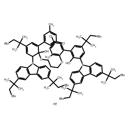 Cc1cc(Cl)cc(C2=CC(C(C)(C)CC(C)(C)C)=CC(n3c4ccc(C(C)(C)CC(C)(C)C)cc4c4cc(C(C)(C)CC(C)(C)C)ccc43)C2(O)OCCCOc2c(C)cc(Cl)cc2-c2cc(C(C)(C)CC(C)(C)C)cc(-n3c4ccc(C(C)(C)CC(C)(C)C)cc4c4cc(C(C)(C)CC(C)(C)C)ccc43)c2O)c1.[Hf]